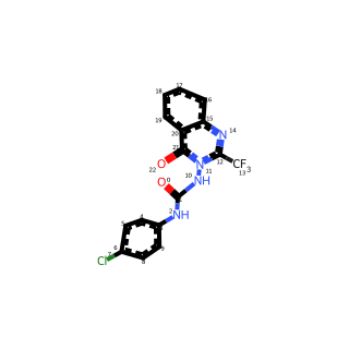 O=C(Nc1ccc(Cl)cc1)Nn1c(C(F)(F)F)nc2ccccc2c1=O